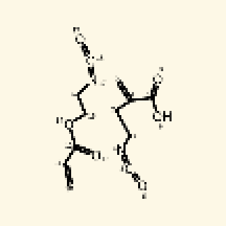 C=C(CCN=C=O)C(=O)O.C=CC(=O)OCCN=C=O